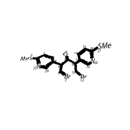 CSc1ccc(C(CBr)C(=O)C(CBr)c2ccc(SC)nc2)cn1